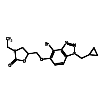 O=C1OC(COc2ccc3c(nnn3CC3CC3)c2Br)CN1CC(F)(F)F